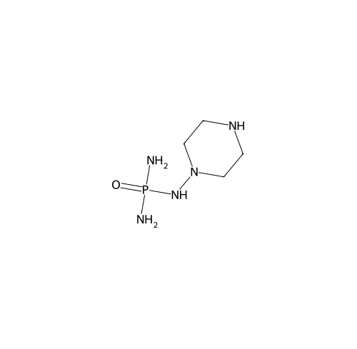 NP(N)(=O)NN1CCNCC1